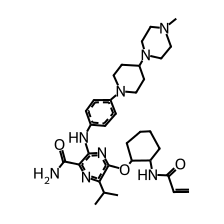 C=CC(=O)NC1CCCCC1Oc1nc(Nc2ccc(N3CCC(N4CCN(C)CC4)CC3)cc2)c(C(N)=O)nc1C(C)C